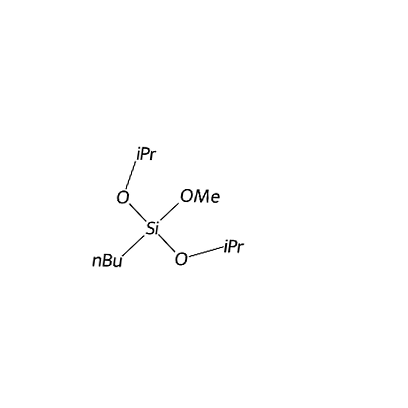 CCCC[Si](OC)(OC(C)C)OC(C)C